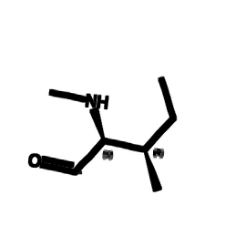 CC[C@@H](C)[C@@H]([C]=O)NC